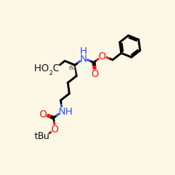 CC(C)(C)OC(=O)NCCCC[C@@H](CC(=O)O)NC(=O)OCc1ccccc1